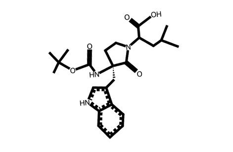 CC(C)CC(C(=O)O)N1CC[C@](Cc2c[nH]c3ccccc23)(NC(=O)OC(C)(C)C)C1=O